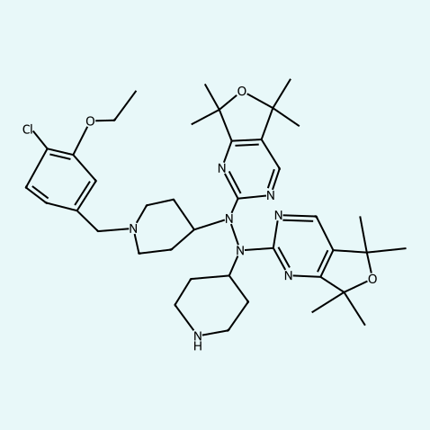 CCOc1cc(CN2CCC(N(c3ncc4c(n3)C(C)(C)OC4(C)C)N(c3ncc4c(n3)C(C)(C)OC4(C)C)C3CCNCC3)CC2)ccc1Cl